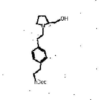 CCCCCCCCCCCCc1ccc(CCN2CCC[C@H]2CO)cc1